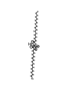 CCCCCCCCCCCCCCCCCC(=O)CC(O)(C(=O)CCCCCCCCCCCCCCCCC)P(=O)=O